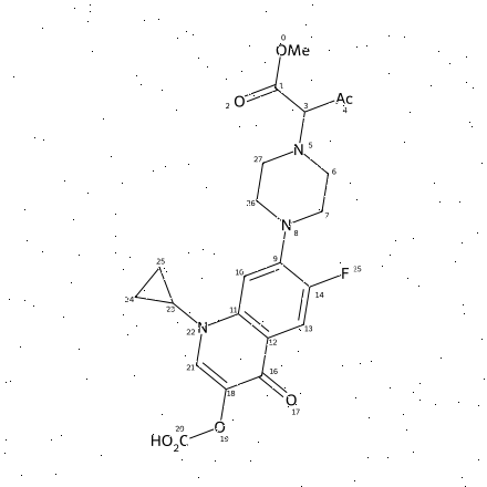 COC(=O)C(C(C)=O)N1CCN(c2cc3c(cc2F)c(=O)c(OC(=O)O)cn3C2CC2)CC1